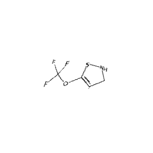 FC(F)(F)OC1=[C]CNS1